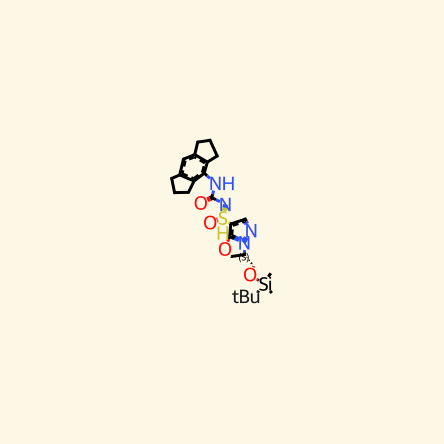 CC(C)(C)[Si](C)(C)OC[C@@H]1COc2c([SH](=O)=NC(=O)Nc3c4c(cc5c3CCC5)CCC4)cnn21